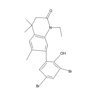 CCN1C(=O)CC(C)(C)c2cc(C)c(-c3cc(Br)cc(Br)c3O)cc21